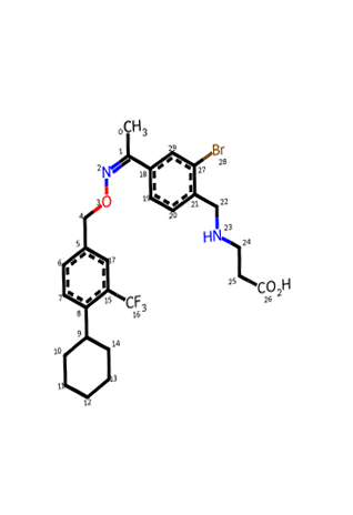 CC(=NOCc1ccc(C2CCCCC2)c(C(F)(F)F)c1)c1ccc(CNCCC(=O)O)c(Br)c1